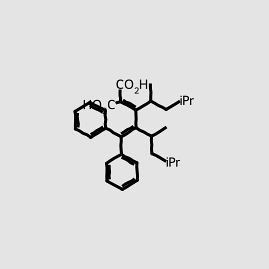 CC(C)CC(C)C(=C(C(=O)O)C(=O)O)C(=C(c1ccccc1)c1ccccc1)C(C)CC(C)C